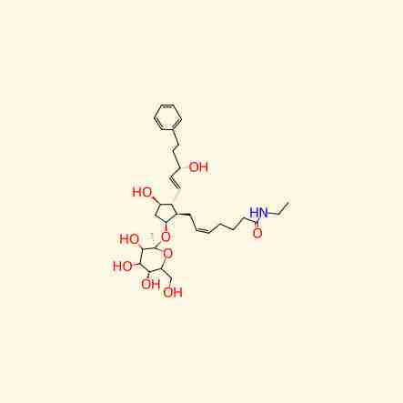 CCNC(=O)CCC/C=C\C[C@@H]1[C@@H](/C=C/[C@@H](O)CCc2ccccc2)[C@H](O)C[C@@H]1O[C@@]1(C)OC(CO)[C@@H](O)C(O)C1O